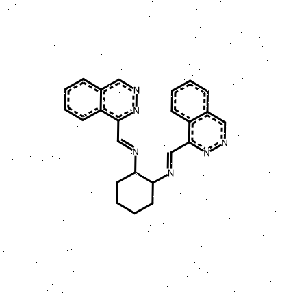 C(=NC1CCCCC1N=Cc1nncc2ccccc12)c1nncc2ccccc12